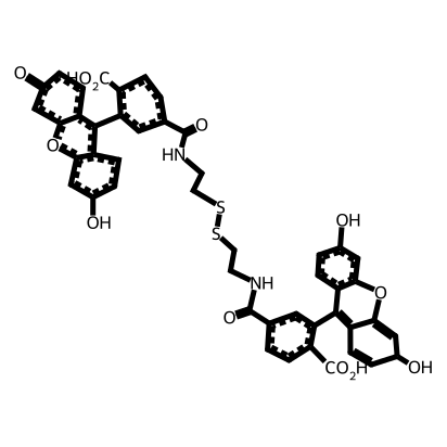 O=C(NCCSSCCNC(=O)c1ccc(C(=O)O)c(-c2c3ccc(=O)cc-3oc3cc(O)ccc23)c1)c1ccc(C(=O)O)c(C2=C3C=CC(O)C=C3Oc3cc(O)ccc32)c1